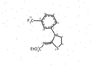 CCOC(=O)/N=C1\SCCN1c1cccc(C(F)(F)F)c1